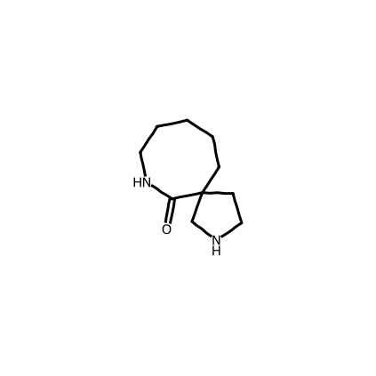 O=C1NCCCCCC12CCNC2